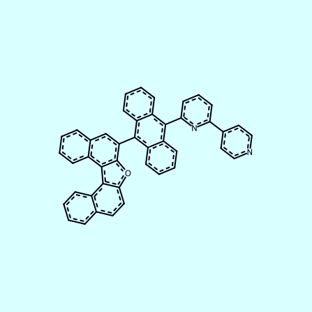 c1cc(-c2ccncc2)nc(-c2c3ccccc3c(-c3cc4ccccc4c4c3oc3ccc5ccccc5c34)c3ccccc23)c1